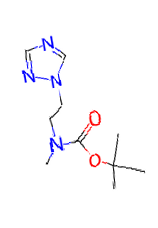 CN(CCn1cncn1)C(=O)OC(C)(C)C